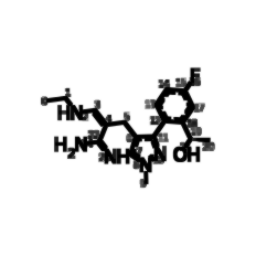 CCN/C=C(/Cc1cn(C)nc1-c1ccc(F)cc1[C@@H](C)O)C(=N)N